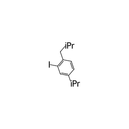 CC(C)Cc1ccc(C(C)C)cc1I